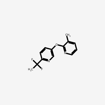 Cc1cccnc1Oc1ccc(C(C)(F)F)nc1